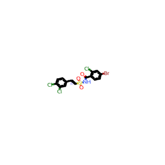 O=C(NS(=O)(=O)/C=C/c1ccc(Cl)c(Cl)c1)c1ccc(Br)cc1Cl